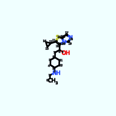 CCNC1CCC(CC(O)c2c(C3CC3)sc3cncn23)CC1